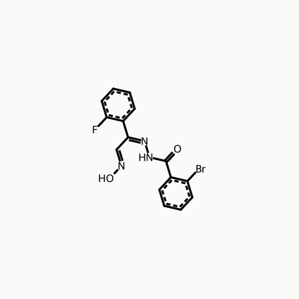 O=C(NN=C(C=NO)c1ccccc1F)c1ccccc1Br